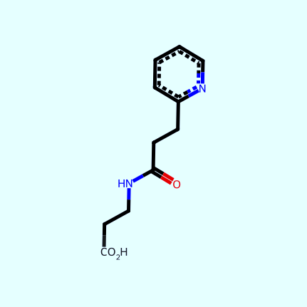 O=C(O)CCNC(=O)CCc1ccccn1